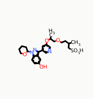 CC(CCOCC(C)Oc1cncc(-c2nn(C3CCCCO3)c3ccc(O)cc23)c1)CS(=O)(=O)O